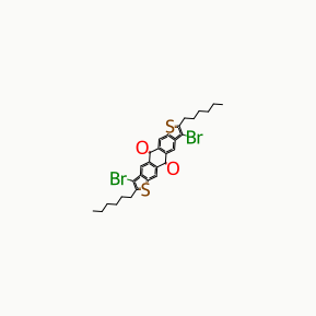 CCCCCCc1sc2cc3c(cc2c1Br)C(=O)c1cc2sc(CCCCCC)c(Br)c2cc1C3=O